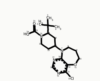 CC(C)(C)C1CC(N2CCCOc3c(Cl)ncnc32)CCN1C(=O)O